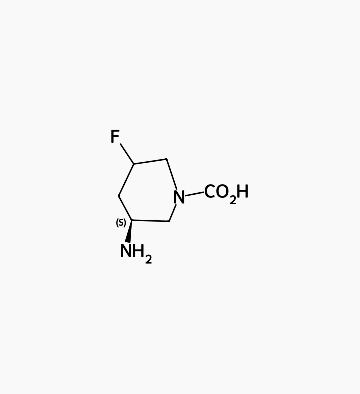 N[C@H]1CC(F)CN(C(=O)O)C1